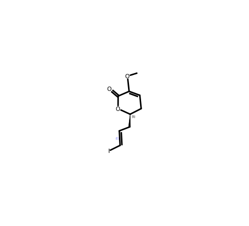 COC1=CC[C@@H](C/C=C/I)OC1=O